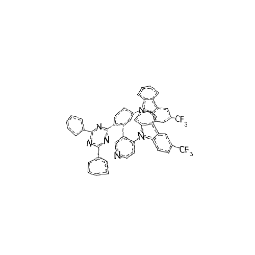 FC(F)(F)c1ccc2c(c1)c1ccccc1n2-c1ccc(-c2nc(-c3ccccc3)nc(-c3ccccc3)n2)c(-c2cnccc2-n2c3ccccc3c3cc(C(F)(F)F)ccc32)c1